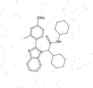 COc1ccc(-c2nc3ccccc3n2C(C(=O)NC2CCCCC2)C2CCCCC2)c(C)c1